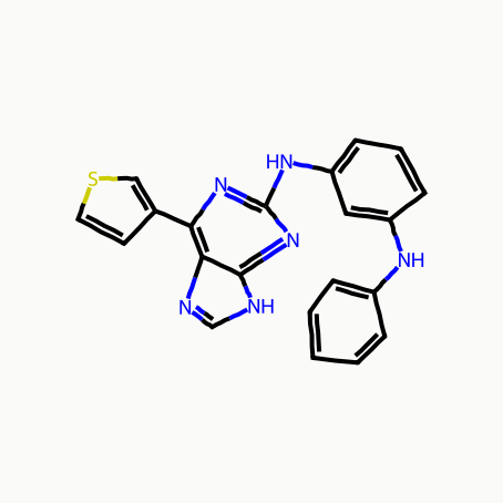 c1ccc(Nc2cccc(Nc3nc(-c4ccsc4)c4nc[nH]c4n3)c2)cc1